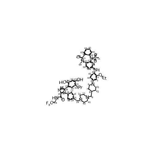 CCOc1cc(N2CCC(CN3CCN(Cc4ccc(-n5c(C(=O)NCC(F)(F)F)nnc5-c5cc(C(C)C)c(O)cc5O)cc4)CC3)CC2)ccc1Nc1ncc2c(n1)N(S(C)(=O)=O)c1ccccc1C(=O)N2C